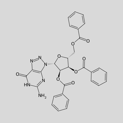 Nc1nc2c(nnn2[C@@H]2O[C@H](COC(=O)c3ccccc3)[C@@H](OC(=O)c3ccccc3)[C@H]2OC(=O)c2ccccc2)c(=O)[nH]1